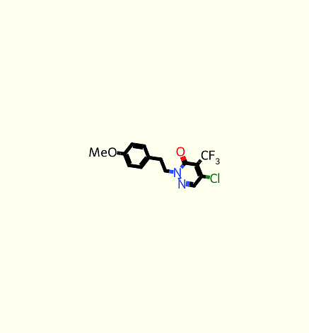 COc1ccc(CCn2ncc(Cl)c(C(F)(F)F)c2=O)cc1